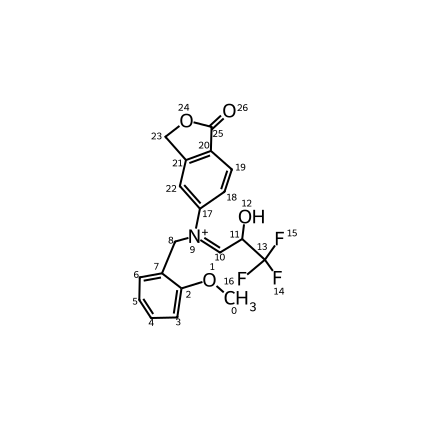 COc1ccccc1C[N+](=CC(O)C(F)(F)F)c1ccc2c(c1)COC2=O